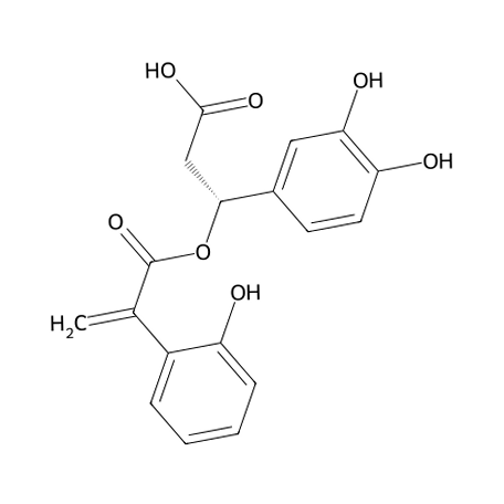 C=C(C(=O)O[C@H](CC(=O)O)c1ccc(O)c(O)c1)c1ccccc1O